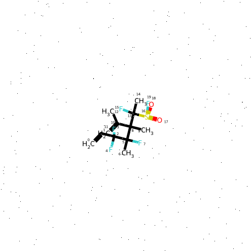 C=CC(F)(F)C(C)(F)C(C)(C(=C)C)C(C)(F)S(=O)(=O)F